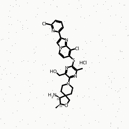 Cc1nc(N2CCC3(CC2)CO[C@@H](C)[C@H]3N)c(CO)nc1Sc1ccn2cc(-c3cccc(Cl)n3)nc2c1Cl.Cl